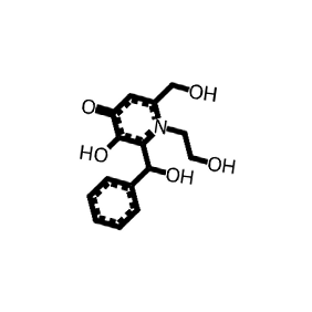 O=c1cc(CO)n(CCO)c(C(O)c2ccccc2)c1O